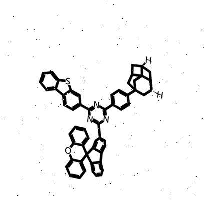 c1ccc2c(c1)Oc1ccccc1C21c2ccccc2-c2ccc(-c3nc(-c4ccc(C56CC7C[C@@H]8C[C@@H](C5)CC78C6)cc4)nc(-c4ccc5c(c4)sc4ccccc45)n3)cc21